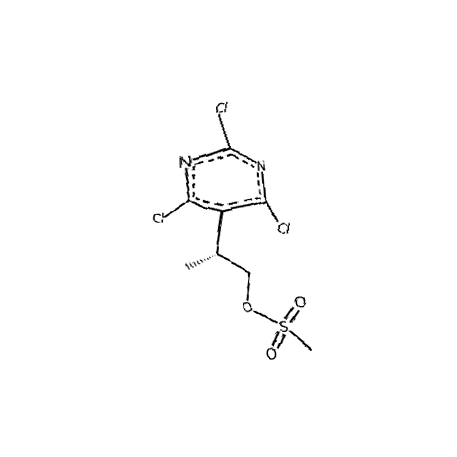 C[C@@H](COS(C)(=O)=O)c1c(Cl)nc(Cl)nc1Cl